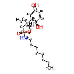 CCCCCCCCNS(=O)(=O)CC(C)(C)c1cc(O)ccc1O